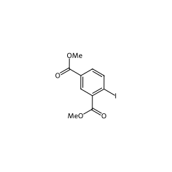 COC(=O)c1ccc(I)c(C(=O)OC)c1